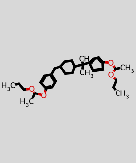 CCCOC(C)Oc1ccc(CC2CCC(C(C)(C)c3ccc(OC(C)OCCC)cc3)CC2)cc1